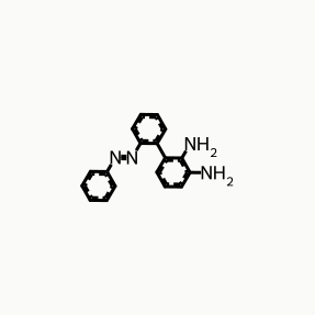 Nc1cccc(-c2ccccc2N=Nc2ccccc2)c1N